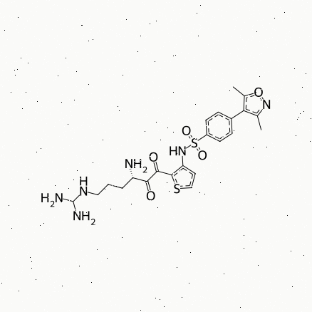 Cc1noc(C)c1-c1ccc(S(=O)(=O)Nc2ccsc2C(=O)C(=O)[C@@H](N)CCCNC(N)N)cc1